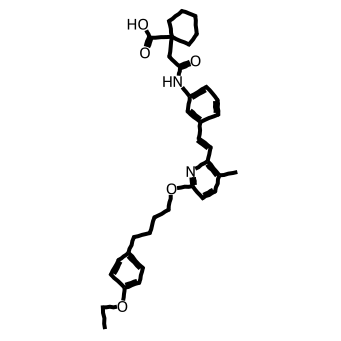 CCOc1ccc(CCCCOc2ccc(C)c(C=Cc3cccc(NC(=O)CC4(C(=O)O)CCCCC4)c3)n2)cc1